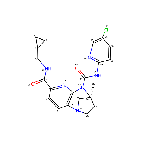 O=C(NCC1CC1)c1ccc2c(n1)N(C(=O)Nc1ccc(Cl)cn1)[C@H]1CCN2C1